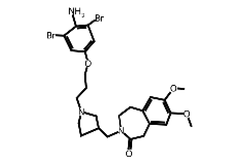 COc1cc2c(cc1OC)CC(=O)N(CC1CCN(CCCOc3cc(Br)c(N)c(Br)c3)C1)CC2